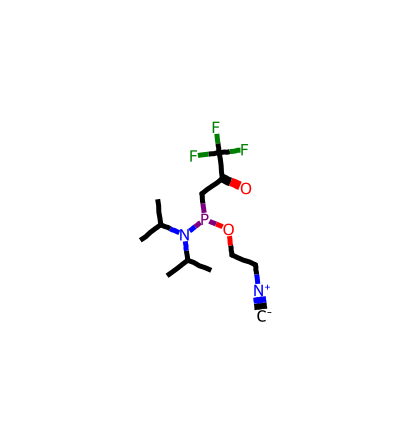 [C-]#[N+]CCOP(CC(=O)C(F)(F)F)N(C(C)C)C(C)C